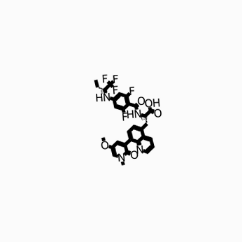 CC[C@@H](Nc1cc(F)c(C(=O)N[C@@H](Cc2ccc(-c3cc(OC)cn(C)c3=O)c3ncccc23)C(=O)O)c(F)c1)C(F)(F)F